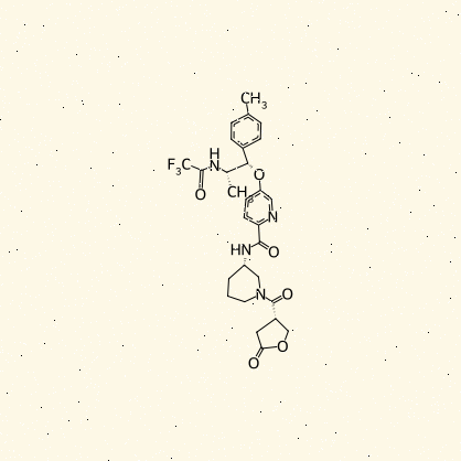 Cc1ccc([C@H](Oc2ccc(C(=O)N[C@H]3CCCN(C(=O)[C@@H]4COC(=O)C4)C3)nc2)[C@H](C)NC(=O)C(F)(F)F)cc1